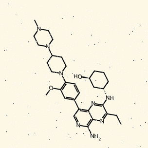 CCc1nc2c(N)ncc(-c3ccc(N4CCC(N5CCN(C)CC5)CC4)c(OC)c3)c2nc1N[C@H]1CCC[C@H](O)C1